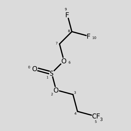 O=S(OCCC(F)(F)F)OCC(F)F